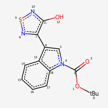 CC(C)(C)OC(=O)n1cc(-c2nsnc2O)c2ccccc21